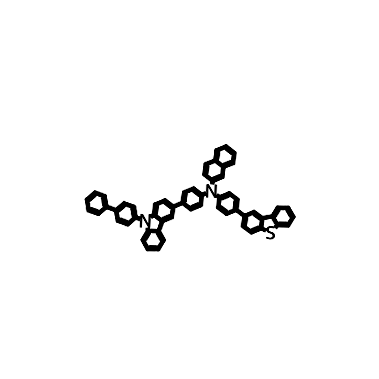 c1ccc(-c2ccc(-n3c4ccccc4c4cc(-c5ccc(N(c6ccc(-c7ccc8sc9ccccc9c8c7)cc6)c6ccc7ccccc7c6)cc5)ccc43)cc2)cc1